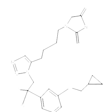 CCC(O)(Cn1nncc1CCCCN1CC(=O)NC1=O)c1cccc(OCC2CC2)c1